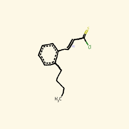 CCCCc1ccccc1/C=C/C(=S)Cl